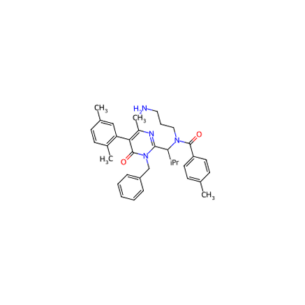 Cc1ccc(C(=O)N(CCCN)C(c2nc(C)c(-c3cc(C)ccc3C)c(=O)n2Cc2ccccc2)C(C)C)cc1